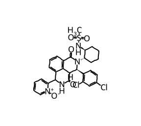 CS(=O)(=O)N[C@H]1CCCC[C@@H]1N1C(=O)c2cccc3c2[C@@H](C(=O)NC3c2cccc[n+]2[O-])[C@@H]1c1ccc(Cl)cc1Cl